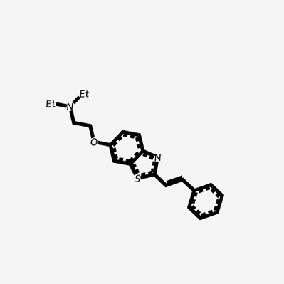 CCN(CC)CCOc1ccc2nc(/C=C/c3ccccc3)sc2c1